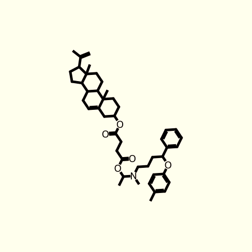 C=C(C)C1CCC2C3CC=C4CC(OC(=O)CCC(=O)OC(C)N(C)CCCC(Oc5ccc(C)cc5)c5ccccc5)CCC4(C)C3CCC12C